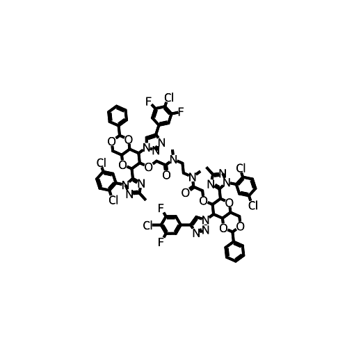 Cc1nc(C2OC3COC(c4ccccc4)OC3C(n3cc(-c4cc(F)c(Cl)c(F)c4)nn3)C2OCC(=O)N(C)CCN(C)C(=O)COC2C(c3nc(C)nn3-c3cc(Cl)ccc3Cl)OC3COC(c4ccccc4)OC3C2n2cc(-c3cc(F)c(Cl)c(F)c3)nn2)n(-c2cc(Cl)ccc2Cl)n1